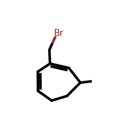 CC1C=C(CBr)C=CCC1